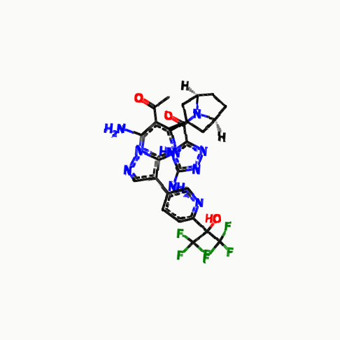 CC(=O)c1c([C@H]2C[C@H]3CC[C@@H](C2)N3C(=O)c2nnc(N)[nH]2)nc2c(-c3ccc(C(O)(C(F)(F)F)C(F)(F)F)nc3)cnn2c1N